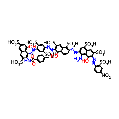 Cc1ccc(S(=O)(=O)Nc2c(S(=O)(=O)O)cc3cc(S(=O)(=O)O)cc(O)c3c2N=Nc2cc(S(=O)(=O)O)c(N=Nc3c(S(=O)(=O)O)cc4c(S(=O)(=O)O)c(N=Nc5cc(S(=O)(=O)O)c6cc(S(=O)(=O)O)c(N=Nc7ccc([N+](=O)[O-])cc7S(=O)(=O)O)c(O)c6c5N)ccc4c3O)cc2S(=O)(=O)O)cc1